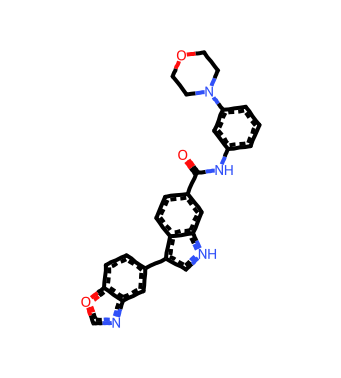 O=C(Nc1cccc(N2CCOCC2)c1)c1ccc2c(-c3ccc4ocnc4c3)c[nH]c2c1